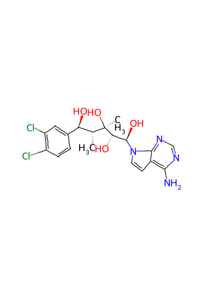 C[C@H]([C@H](O)c1ccc(Cl)c(Cl)c1)[C@@](C)(O)[C@@H](O)[C@@H](O)n1ccc2c(N)ncnc21